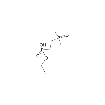 CCOP(=O)(O)CCP(C)(C)=O